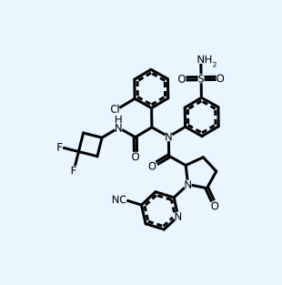 N#Cc1ccnc(N2C(=O)CCC2C(=O)N(c2cccc(S(N)(=O)=O)c2)C(C(=O)NC2CC(F)(F)C2)c2ccccc2Cl)c1